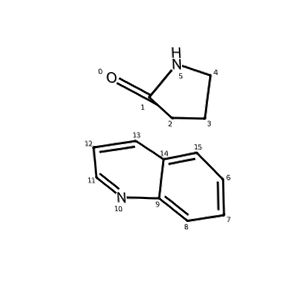 O=C1CCCN1.c1ccc2ncccc2c1